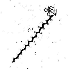 CCCCCCCCCCCCCCCCCCCCCC(=O)OP(=O)(O)O.[Zn]